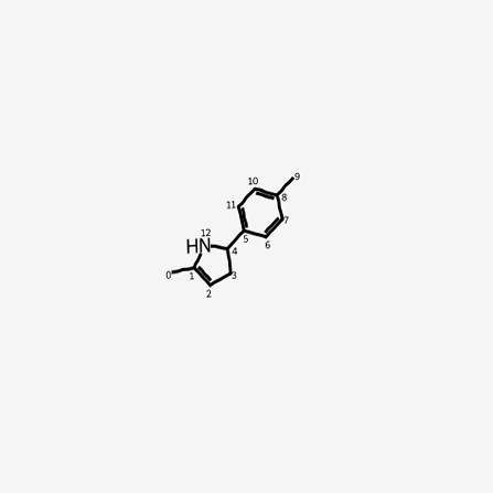 CC1=CCC(c2ccc(C)cc2)N1